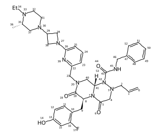 C=CCN1CC(=O)N2[C@@H](Cc3ccc(O)cc3F)C(=O)N(Cc3cccc(N4CC(N5CCN(CC)[C@@H](C)C5)C4)n3)C[C@@H]2N1C(=O)NCc1ccccc1